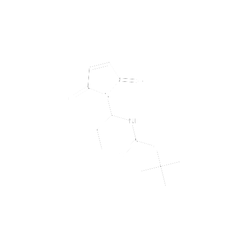 CCC(NC(=O)OC(C)(C)C)N1C(=O)C=CC1=O